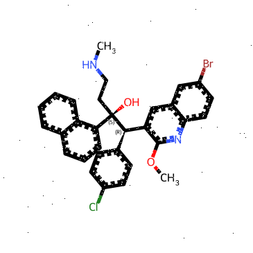 CNCC[C@@](O)(c1cccc2ccccc12)[C@H](c1ccc(Cl)cc1)c1cc2cc(Br)ccc2nc1OC